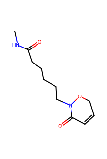 CNC(=O)CCCCCN1OCC=CC1=O